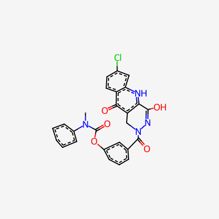 CN(C(=O)Oc1cccc(C(=O)N2Cc3c([nH]c4cc(Cl)ccc4c3=O)C(O)=N2)c1)c1ccccc1